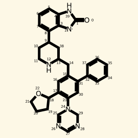 O=C1[N]c2c(cccc2C2CCNC(Cc3cc(C4CCCO4)c(N4C=NC=NC4)cc3-c3ccccc3)C2)N1